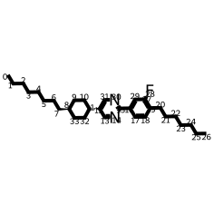 CCCCCCCC[C@H]1CC[C@H](c2cnc(-c3ccc(CCCCCCC)c(F)c3)nc2)CC1